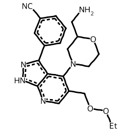 CCOOCc1cnc2[nH]nc(-c3cccc(C#N)c3)c2c1N1CCOC(CN)C1